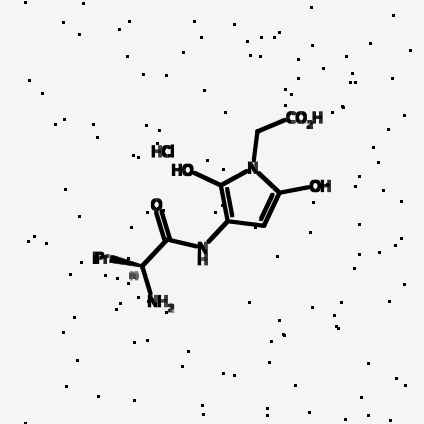 CC(C)[C@H](N)C(=O)Nc1cc(O)n(CC(=O)O)c1O.Cl